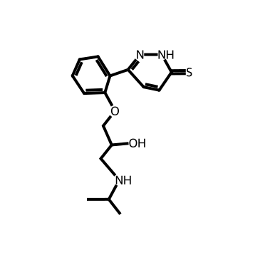 CC(C)NCC(O)COc1ccccc1-c1ccc(=S)[nH]n1